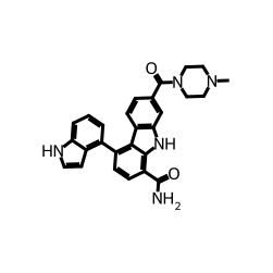 CN1CCN(C(=O)c2ccc3c(c2)[nH]c2c(C(N)=O)ccc(-c4cccc5[nH]ccc45)c23)CC1